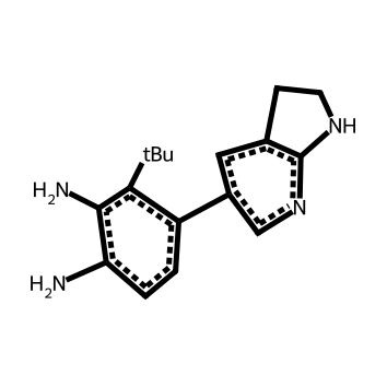 CC(C)(C)c1c(-c2cnc3c(c2)CCN3)ccc(N)c1N